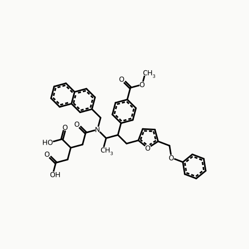 COC(=O)c1ccc(C(Cc2ccc(COc3ccccc3)o2)C(C)N(Cc2ccc3ccccc3c2)C(=O)CC(CC(=O)O)C(=O)O)cc1